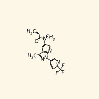 C=CC(=O)N(C)c1cnc2c(c1)c(C)nn2-c1ccc(C(F)(F)F)nc1